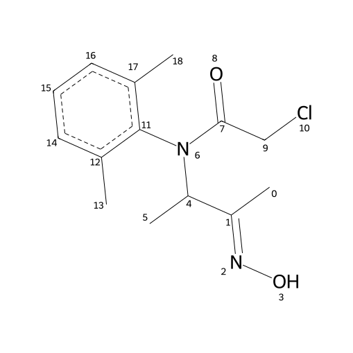 C/C(=N\O)C(C)N(C(=O)CCl)c1c(C)cccc1C